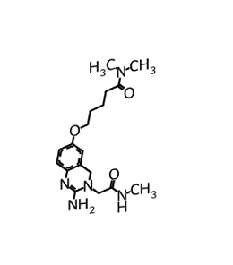 CNC(=O)CN1Cc2cc(OCCCCC(=O)N(C)C)ccc2N=C1N